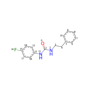 O=C(NCCc1ccccc1)Nc1ccc(F)cc1